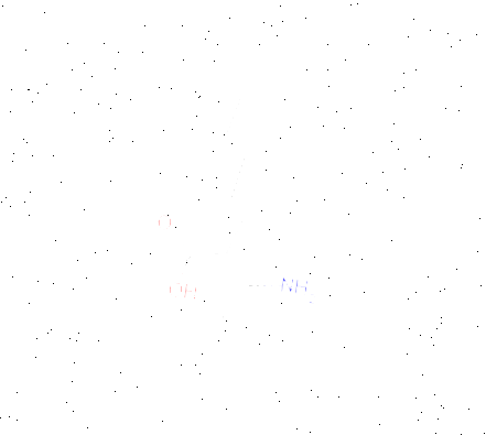 CCCCCCC(C(=O)O)=C(N)CC